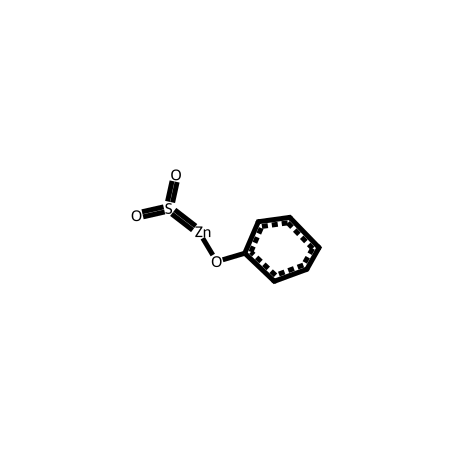 O=[S](=O)=[Zn][O]c1ccccc1